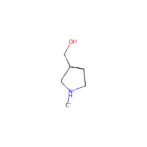 [CH2-][NH+]1CCC(CO)C1